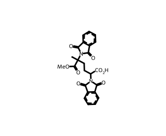 COC(=O)C(C)(CCC(C(=O)O)N1C(=O)c2ccccc2C1=O)N1C(=O)c2ccccc2C1=O